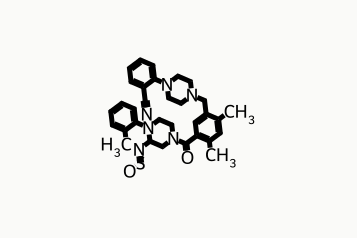 Cc1cc(C)c(C(=O)N2CCN(c3ccccc3C)C(N=S=O)C2)cc1CN1CCN(c2ccccc2C#N)CC1